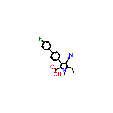 CCc1c(C#N)c(-c2ccc(-c3ccc(F)cc3)cc2)c(C(=O)O)n1C